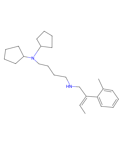 C/C=C(/CNCCCCN(C1CCCC1)C1CCCC1)c1ccccc1C